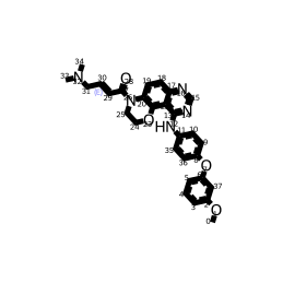 COc1cccc(Oc2ccc(Nc3ncnc4ccc5c(c34)OCCN5C(=O)/C=C/CN(C)C)cc2)c1